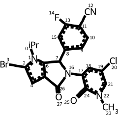 CC(C)n1c(Br)cc2c1C(c1ccc(C#N)c(F)c1)N(c1cc(Cl)cn(C)c1=O)C2=O